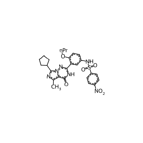 CCCOc1ccc(NS(=O)(=O)c2ccc([N+](=O)[O-])cc2)cc1-c1nn2c(C3CCCC3)nc(C)c2c(=O)[nH]1